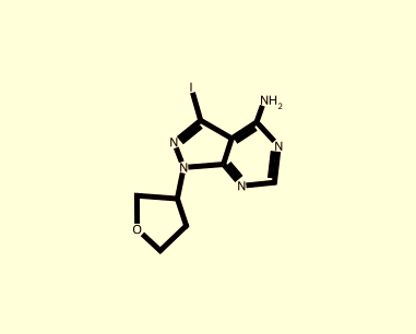 Nc1ncnc2c1c(I)nn2C1CCOC1